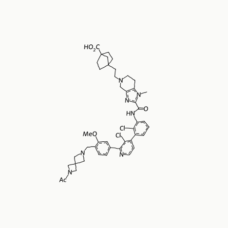 COc1cc(-c2nccc(-c3cccc(NC(=O)c4nc5c(n4C)CCN(CCC46CCC(C(=O)O)(CC4)C6)C5)c3Cl)c2Cl)ccc1CN1CC2(C1)CN(C(C)=O)C2